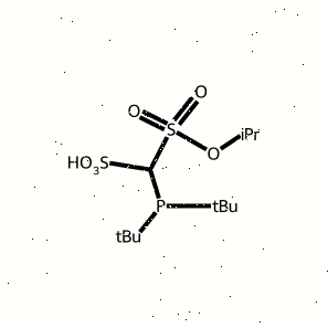 CC(C)OS(=O)(=O)C(P(C(C)(C)C)C(C)(C)C)S(=O)(=O)O